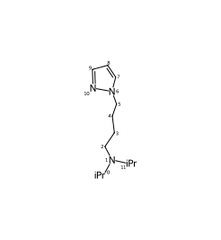 CC(C)N(CCCCn1cccn1)C(C)C